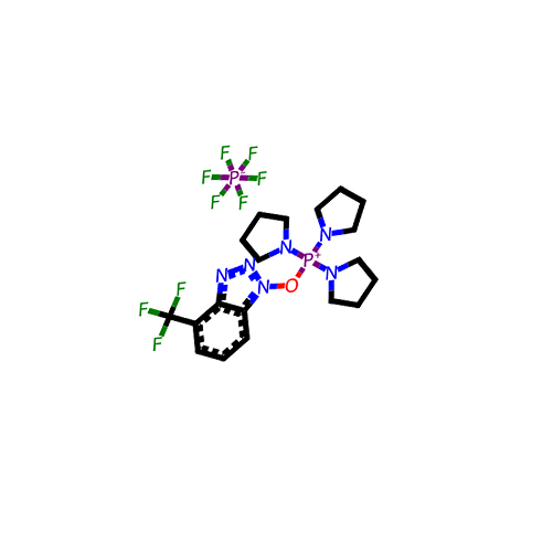 FC(F)(F)c1cccc2c1nnn2O[P+](N1CCCC1)(N1CCCC1)N1CCCC1.F[P-](F)(F)(F)(F)F